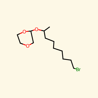 CC(CCCCCCCBr)OC1COCCO1